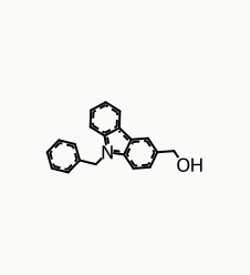 OCc1ccc2c(c1)c1ccccc1n2Cc1ccccc1